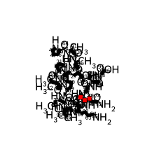 CC(C)C[C@H](NC(=O)[C@@H]1CCCN1C(=O)[C@@H](NC(=O)[C@@H]1CCCN1C(=O)[C@H](CCC(=O)O)NC(=O)[C@H](C)NC(=O)[C@H](C)NC(=O)[C@@H]1CCCN1)C(C)C)C(=O)N[C@H](C(=O)N[C@@H](CCCCN)C(=O)N[C@@H](CCC(N)=O)C(=O)N[C@@H](CCC(=O)O)C(=O)N[C@@H](CS)C(=O)NCC(=O)O)C(C)C